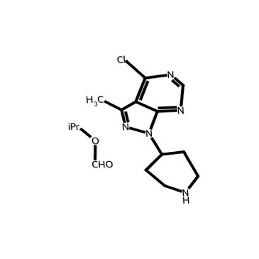 CC(C)OC=O.Cc1nn(C2CCNCC2)c2ncnc(Cl)c12